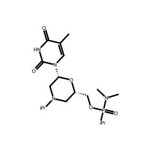 Cc1cn([C@H]2CN(C(C)C)C[C@@H](COP(=O)(C(C)C)N(C)C)O2)c(=O)[nH]c1=O